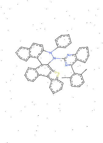 Cc1cccc(C)c1-c1nc(N2c3c(c4ccccc4c4c3sc3ccccc34)-c3c(ccc4ccccc34)N2c2ccccc2)nc2ccccc12